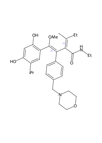 CCNC(=O)C(=C(/C)CC)/C(=C(\OC)c1cc(C(C)C)c(O)cc1O)c1ccc(CN2CCOCC2)cc1